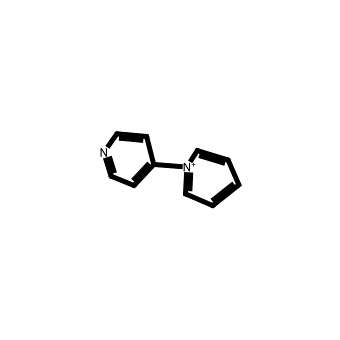 c1cc[n+](-c2ccncc2)cc1